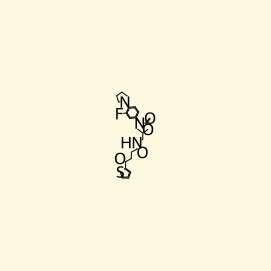 O=C(CCC(=O)c1cccs1)NCC1CN(c2ccc(N3CCCC3)c(F)c2)C(=O)O1